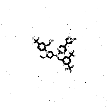 CC[C@@H]1C[C@H](N(Cc2cc(C(F)(F)F)cc(C(F)(F)F)c2)c2ncc(-c3cnn(C)c3)cn2)CN1c1ccc(C(F)(F)F)cc1CO